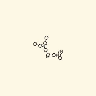 c1ccc(-c2ccc3c(c2)c2cc(-c4ccccc4)ccc2n3-c2ccc(-c3cncc(-c4ccc(-n5c6ccccc6c6cnccc65)cc4)c3)cc2)cc1